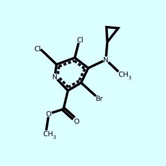 COC(=O)c1nc(Cl)c(Cl)c(N(C)C2CC2)c1Br